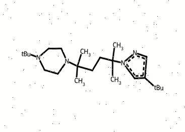 CC(C)(C)c1cnn(C(C)(C)CCC(C)(C)N2CCN(C(C)(C)C)CC2)c1